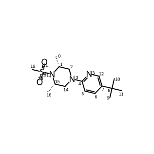 C[C@@H]1CN(c2ccc(C(C)(C)C)cn2)C[C@H](C)N1S(C)(=O)=O